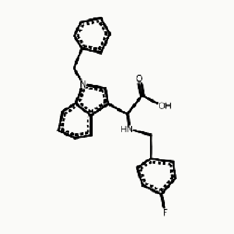 O=C(O)C(NCc1ccc(F)cc1)c1cn(Cc2ccccc2)c2ccccc12